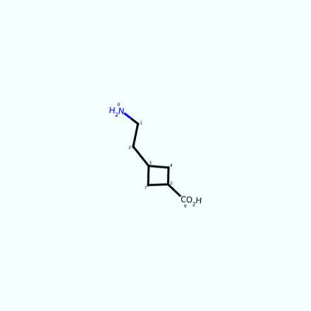 NCCC1CC(C(=O)O)C1